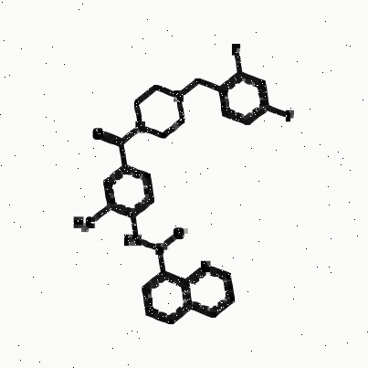 Cc1cc(C(=O)N2CCN(Cc3ccc(F)cc3F)CC2)ccc1N[S+]([O-])c1cccc2cccnc12